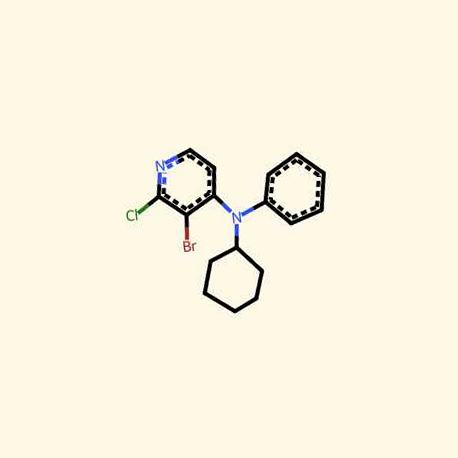 Clc1nccc(N(c2ccccc2)C2CCCCC2)c1Br